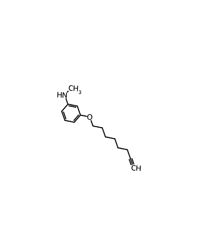 C#CCCCCCCOc1cccc(NC)c1